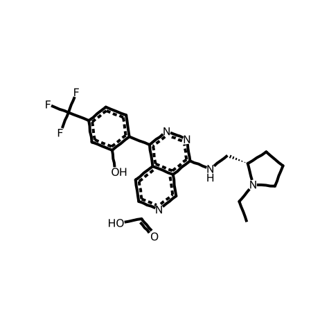 CCN1CCC[C@H]1CNc1nnc(-c2ccc(C(F)(F)F)cc2O)c2ccncc12.O=CO